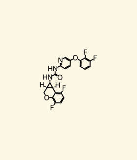 O=C(Nc1ccc(Oc2cccc(F)c2F)cn1)N[C@@H]1[C@H]2COc3c(F)ccc(F)c3[C@@H]21